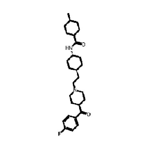 CC1CCC(C(=O)N[C@H]2CC[C@H](CCN3CCC(C(=O)c4ccc(F)cc4)CC3)CC2)CC1